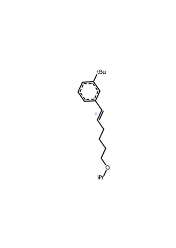 CC(C)OCCCC/C=C/c1cccc(C(C)(C)C)c1